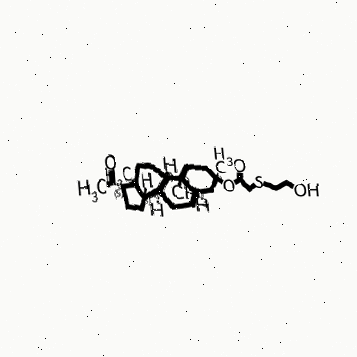 CC(=O)[C@H]1CC[C@H]2[C@@H]3CC[C@H]4C[C@](C)(OC(=O)CSCCO)CC[C@]4(C)[C@H]3CC[C@]12C